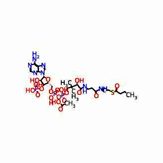 CC(=O)O.CCCC(=O)SCCNC(=O)CCNC(=O)[C@H](O)C(C)(C)COP(=O)(O)OP(=O)(O)OC[C@H]1O[C@@H](n2cnc3c(N)ncnc32)[C@H](O)[C@@H]1OP(=O)(O)O